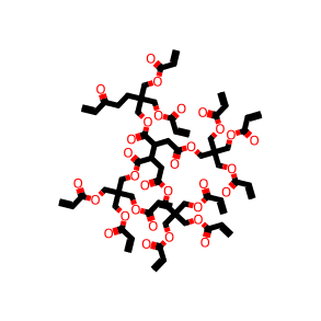 C=CC(=O)CCC(COC(=O)C=C)(COC(=O)C=C)COC(=O)C(CC(=O)OCC(COC(=O)C=C)(COC(=O)C=C)COC(=O)C=C)C(CC(=O)OCC(COC(=O)C=C)(COC(=O)C=C)COC(=O)C=C)C(=O)OCC(COC(=O)C=C)(COC(=O)C=C)COC(=O)C=C